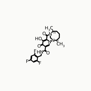 C[C@H]1CCC[C@H](C)N2CN1C(=O)c1c(O)c(=O)c(C(=O)NCc3c(F)cc(F)cc3F)cn12